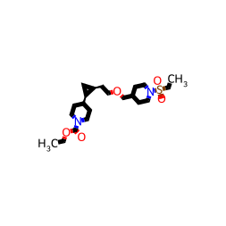 CCOC(=O)N1CCC([C@H]2C[C@H]2CCOCC2CCN(S(=O)(=O)CC)CC2)CC1